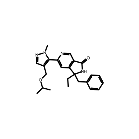 CCC1(Cc2ccccc2)NC(=O)c2cnc(-c3c(COC(C)C)cnn3C)cc21